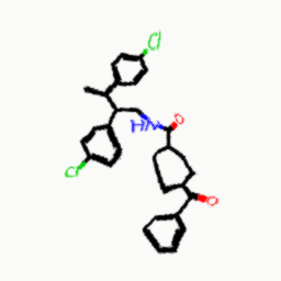 CC(c1ccc(Cl)cc1)C(CNC(=O)C1CCC(C(=O)c2ccccc2)CC1)c1ccc(Cl)cc1